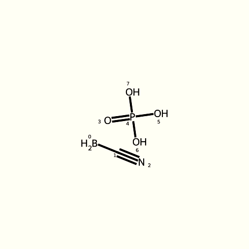 BC#N.O=P(O)(O)O